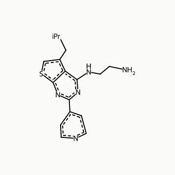 CC(C)Cc1csc2nc(-c3ccncc3)nc(NCCN)c12